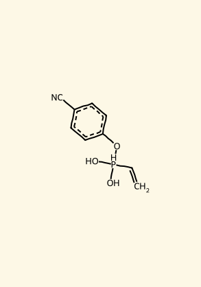 C=C[PH](O)(O)Oc1ccc(C#N)cc1